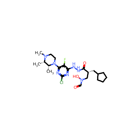 C[C@@H]1[C@H](C)N(C)CCN1c1nc(Cl)nc(NNC(=O)[C@H](CC2CCCC2)CN(O)C=O)c1F